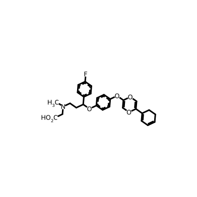 CN(CCC(Oc1ccc(OC2=COC(C3=CC=CCC3)=CO2)cc1)c1ccc(F)cc1)CC(=O)O